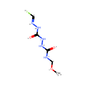 COCNC(=O)NNC(=O)NN=CF